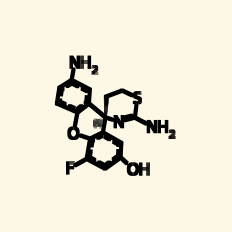 NC1=N[C@@]2(CCS1)c1cc(N)ccc1Oc1c(F)cc(O)cc12